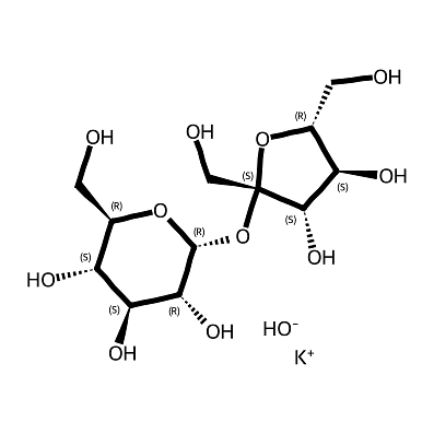 OC[C@H]1O[C@@](CO)(O[C@H]2O[C@H](CO)[C@@H](O)[C@H](O)[C@H]2O)[C@@H](O)[C@@H]1O.[K+].[OH-]